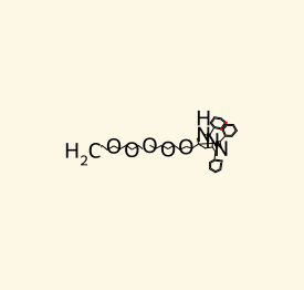 C=CCOCCOCCOCCOCCOCC12CNC(c3ccccc3)N3C(C1)C(c1ccccc1)N(C2)C3c1ccccc1